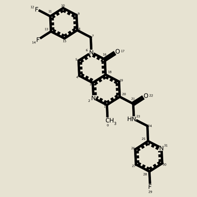 Cc1nc2ccn(Cc3ccc(F)c(F)c3)c(=O)c2cc1C(=O)NCc1ccc(F)cn1